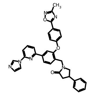 Cc1noc(-c2ccc(Oc3cc(-c4cccc(-n5ccnc5)n4)ccc3CN3CC(c4ccccc4)CC3=O)cc2)n1